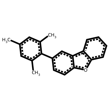 Cc1cc(C)c(-c2ccc3oc4ccccc4c3c2)c(C)c1